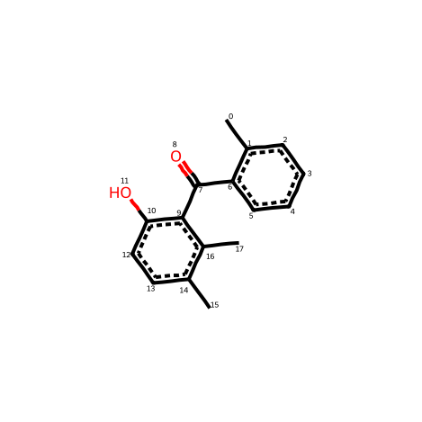 Cc1ccccc1C(=O)c1c(O)ccc(C)c1C